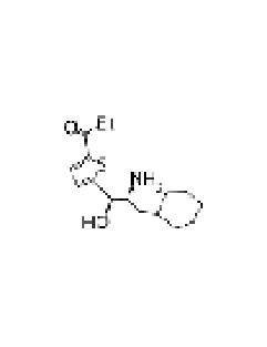 CCC(=O)c1ccc([C@H](O)[C@@H](N)CC2CCCCC2)s1